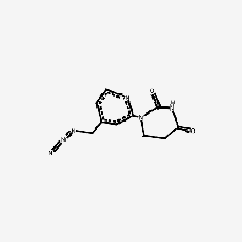 [N-]=[N+]=NCc1ccnc(N2CCC(=O)NC2=O)c1